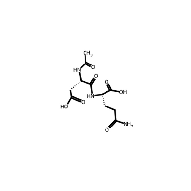 CC(=O)N[C@@H](CC(=O)O)C(=O)N[C@@H](CCC(N)=O)C(=O)O